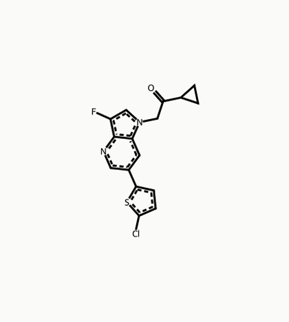 O=C(Cn1cc(F)c2ncc(-c3ccc(Cl)s3)cc21)C1CC1